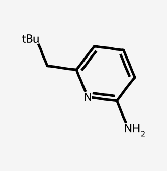 CC(C)(C)Cc1cccc(N)n1